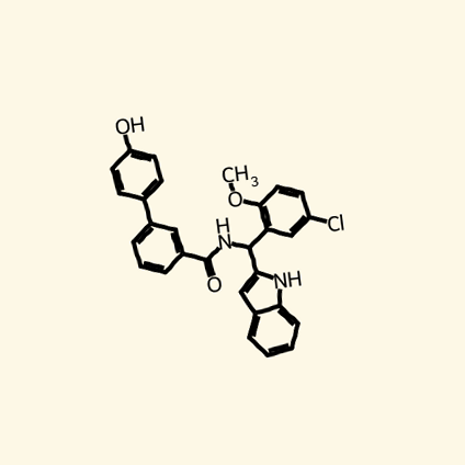 COc1ccc(Cl)cc1C(NC(=O)c1cccc(-c2ccc(O)cc2)c1)c1cc2ccccc2[nH]1